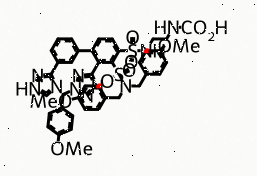 COc1ccc(CN(Cc2ccc(OC)cc2)S(=O)(=O)c2c(S(=O)(=O)NCCNC(=O)O)ccc(-c3cccc(-c4nc[nH]n4)c3)c2-c2nnn(Cc3ccc(OC)cc3)n2)cc1